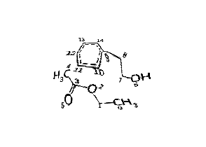 CCOC(C)=O.OCCc1ccccc1